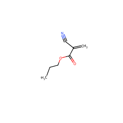 [CH2]CCOC(=O)C(=C)C#N